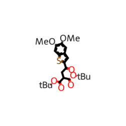 COc1cc2cc(C(=O)CC(C(=O)OC(C)(C)C)C(=O)OC(C)(C)C)sc2cc1OC